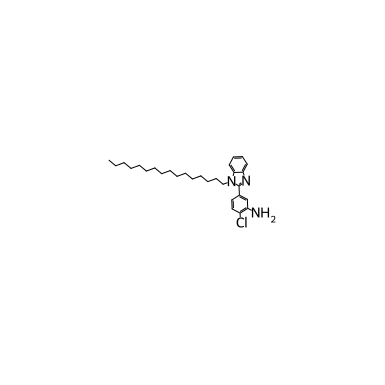 CCCCCCCCCCCCCCCCn1c(-c2ccc(Cl)c(N)c2)nc2ccccc21